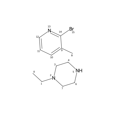 CCN1CCNCC1.Cc1cccnc1Br